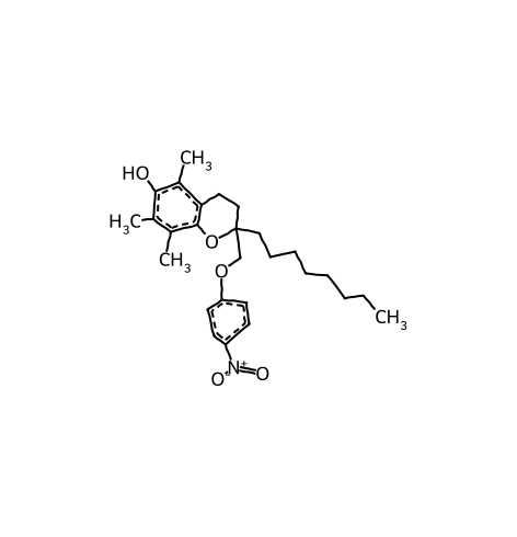 CCCCCCCCC1(COc2ccc([N+](=O)[O-])cc2)CCc2c(C)c(O)c(C)c(C)c2O1